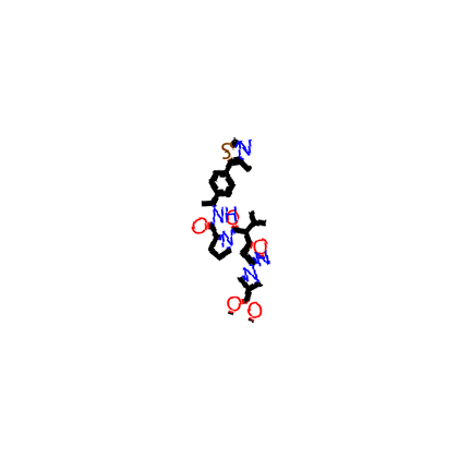 COC(OC)C1CN(c2cc(C(C(=O)N3CCCC3C(=O)NC(C)c3ccc(-c4scnc4C)cc3)C(C)C)on2)C1